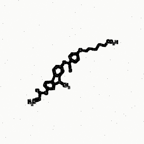 C=CC(=O)Oc1ccc2c(c1)C(C)c1cc(OC(=O)c3ccc(OCCCCCC(=O)O)cc3)ccc1-2